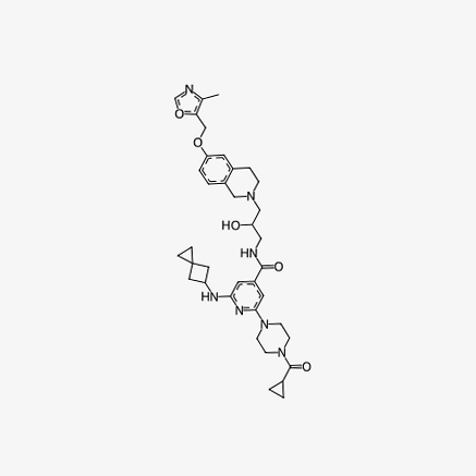 Cc1ncoc1COc1ccc2c(c1)CCN(CC(O)CNC(=O)c1cc(NC3CC4(CC4)C3)nc(N3CCN(C(=O)C4CC4)CC3)c1)C2